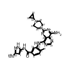 Cc1ccc(C(=O)Nc2cc(C(C)(C)C)n[nH]2)cc1Nc1ncnc2c(N)nc(N3CCN(C4CC4)CC3)nc12